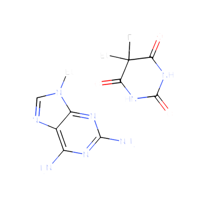 CCC1(CC)C(=O)NC(=O)NC1=O.CCn1cnc2c(N)nc(N)nc21